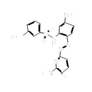 Nc1nc(N=Nc2ccc([N+](=O)[O-])cc2NS(=O)(=O)c2cccc(S(=O)(=O)O)c2)ccc1O.[K+]